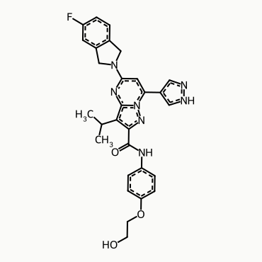 CC(C)c1c(C(=O)Nc2ccc(OCCO)cc2)nn2c(-c3cn[nH]c3)cc(N3Cc4ccc(F)cc4C3)nc12